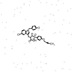 CC#CCOc1ccc(S(=O)(=O)NC(Cc2cn(Cc3ccc(Cl)cc3)c3ccc(Cl)cc23)C(=O)O)cc1